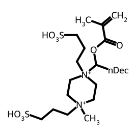 C=C(C)C(=O)OC(CCCCCCCCCC)[N+]1(CCCS(=O)(=O)O)CC[N+](C)(CCCS(=O)(=O)O)CC1